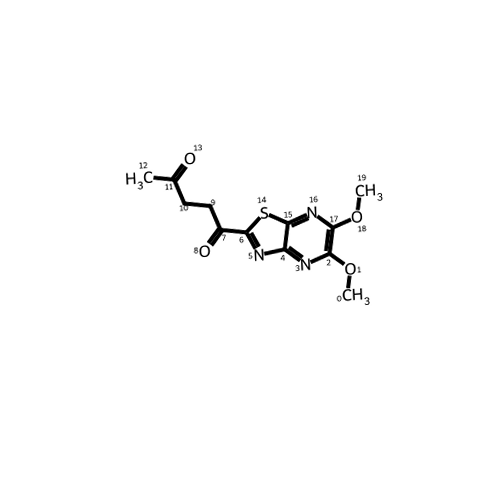 COc1nc2nc(C(=O)CCC(C)=O)sc2nc1OC